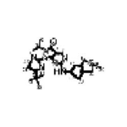 CC(C)n1c(=O)c2cnc(Nc3ccc4c(c3)CCN(C)C4)nc2n1-c1nccc(C(C)(C)C)n1